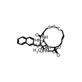 CC(C)[C@H]1NC(=O)CC2/C=C/CCSSCC(NC1=O)C(=O)NC(Cc1ccc3ccccc3c1)C(=O)NCC(=O)O2